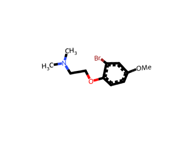 COc1ccc(OCCN(C)C)c(Br)c1